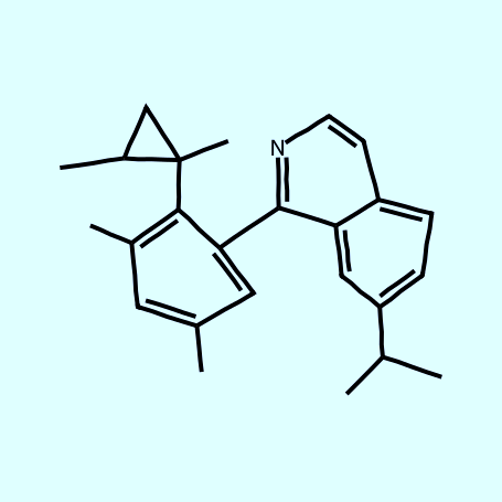 Cc1cc(C)c(C2(C)CC2C)c(-c2nccc3ccc(C(C)C)cc23)c1